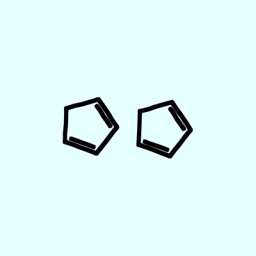 C1=CCC=C1.C1=CCC=C1